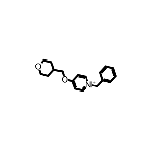 c1ccc(C[n+]2ccc(OCC3CCOCC3)cc2)cc1